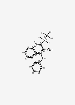 CC(C)(C)[Si](C)(C)c1nc2ccccc2n(Cc2ccccc2)c1=O